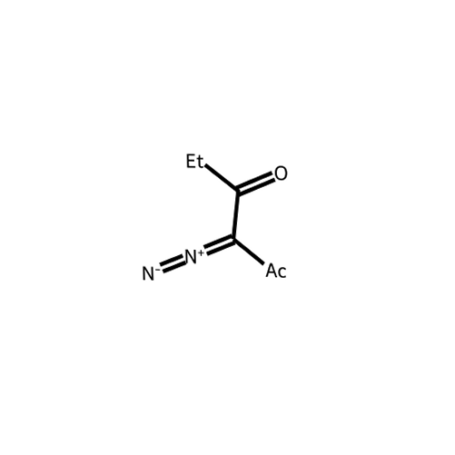 CCC(=O)C(=[N+]=[N-])C(C)=O